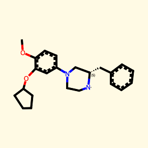 COc1ccc(N2CC[N][C@@H](Cc3ccccc3)C2)cc1OC1CCCC1